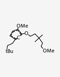 COCCC(C)(C)CCOc1cc(CCC(C)(C)C)ccc1OC